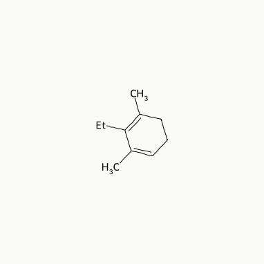 CCC1=C(C)CCC=C1C